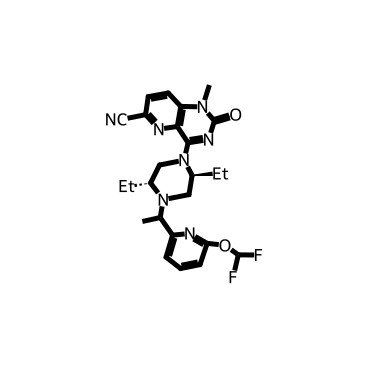 CC[C@H]1CN(C(C)c2cccc(OC(F)F)n2)[C@H](CC)CN1c1nc(=O)n(C)c2ccc(C#N)nc12